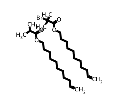 C=CCCCCCCCCCOC(=O)C(C)(C)Br.C=CCCCCCCCCCOC(=O)C(C)C